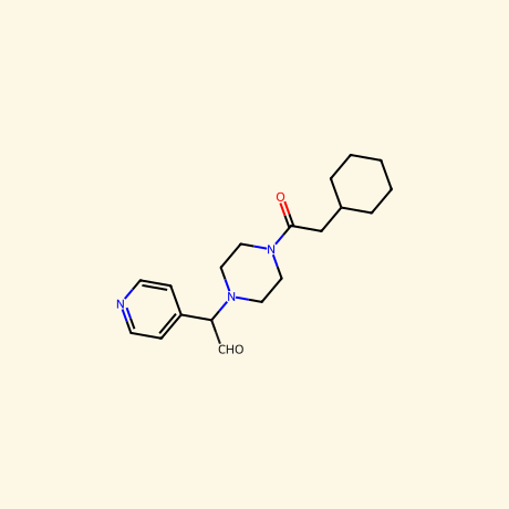 O=CC(c1ccncc1)N1CCN(C(=O)CC2CCCCC2)CC1